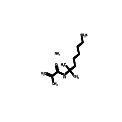 C=C(C)C(=O)NC(C)(C)CCCCCS(=O)(=O)O.N